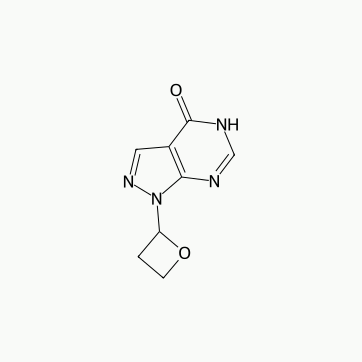 O=c1[nH]cnc2c1cnn2C1CCO1